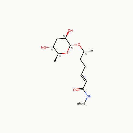 CCCCCCNC(=O)/C=C/CC[C@@H](C)O[C@@H]1O[C@@H](C)[C@H](O)C[C@H]1O